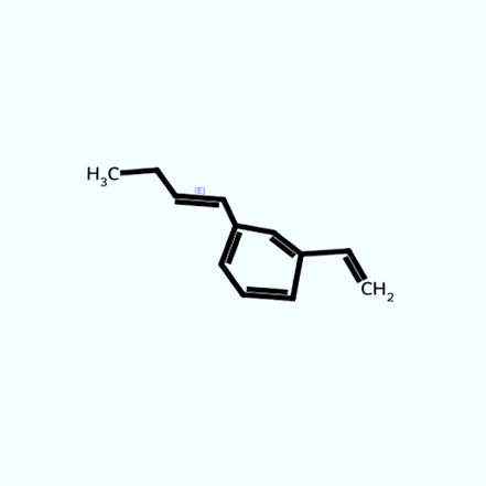 C=Cc1cccc(/C=C/CC)c1